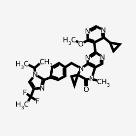 COc1ncnc(C2CC2)c1-c1ncc2c(n1)N(Cc1ccc(-c3nc(C(C)(F)F)cn3C(C)C)cc1)C1(CC1)C(=O)N2C